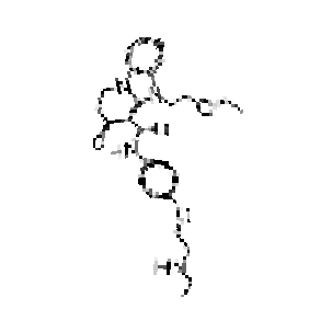 CCNCCOc1ccc(NC(=O)C2=C3N(CCOCC)c4ccccc4N3CCC2=O)cc1